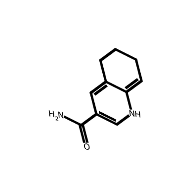 NC(=O)C1=CNC2=CCCCC2=C1